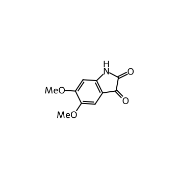 COc1cc2c(cc1OC)C(=O)C(=O)N2